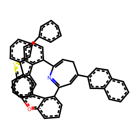 C1=C(c2ccc3ccccc3c2)CC=C(c2cccc3sc4ccccc4c23)N=C1c1cccc2oc3ccc(-c4cccc(-c5ccccc5)c4)cc3c12